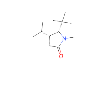 CC(C)[C@H]1CC(=O)N(C)[C@H]1C(C)(C)C